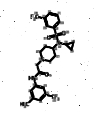 Cc1cc(NC(=O)CN2CCC(N(C3CC3)S(=O)(=O)c3cccc(C(F)(F)F)c3)CC2)cc(C(F)(F)F)c1